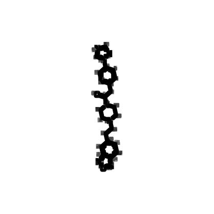 O=C(Cc1ccc(-n2cncn2)cn1)N1CCN(CCc2ccc3nonc3c2)CC1